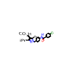 CC(C)c1nn(Cc2ccc(NC(=O)c3ccc(Cl)cc3)cc2)c(C(C)C)c1CC(=O)O